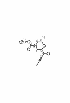 CC#CC(=O)[C@H]1CN(C(=O)OC(C)(C)C)C[C@H](C)O1